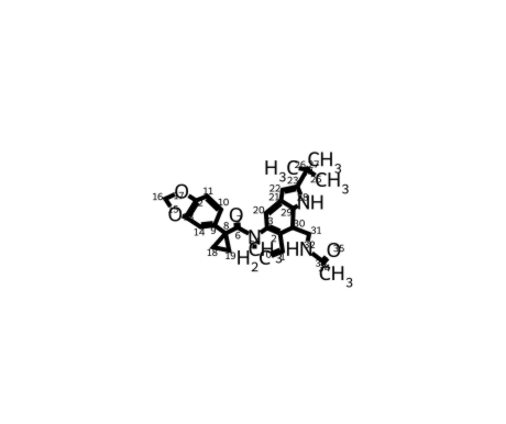 C=CC1=C(N(C)C(=O)C2(c3ccc4c(c3)OCO4)CC2)C=C2C=C(C(C)(C)C)NC2C1CNC(C)=O